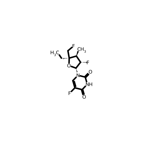 CC[C@@]1(CF)O[C@@H](n2cc(F)c(=O)[nH]c2=O)[C@@H](F)[C@@H]1C